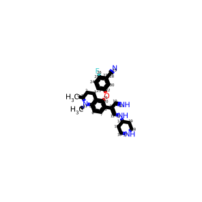 CC1CCc2c(ccc(/C(C=N)=C/NC3CCNCC3)c2Oc2ccc(F)c(C#N)c2)N1C